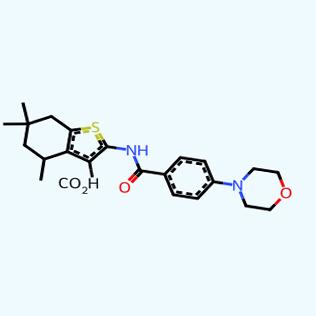 CC1CC(C)(C)Cc2sc(NC(=O)c3ccc(N4CCOCC4)cc3)c(C(=O)O)c21